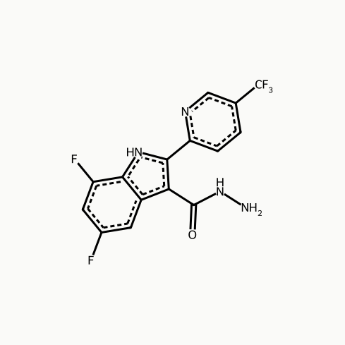 NNC(=O)c1c(-c2ccc(C(F)(F)F)cn2)[nH]c2c(F)cc(F)cc12